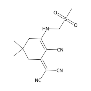 CC1(C)CC(NCS(C)(=O)=O)=C(C#N)C(=C(C#N)C#N)C1